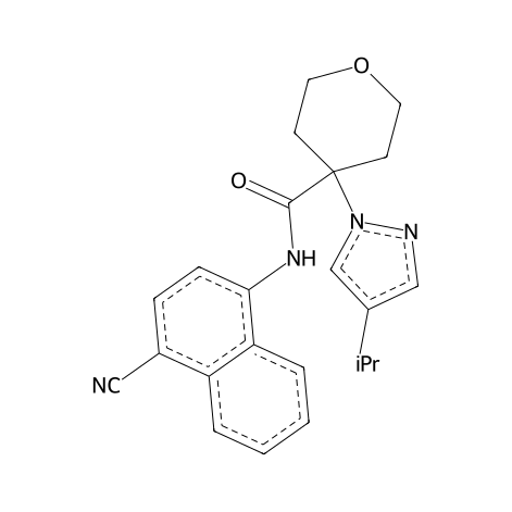 CC(C)c1cnn(C2(C(=O)Nc3ccc(C#N)c4ccccc34)CCOCC2)c1